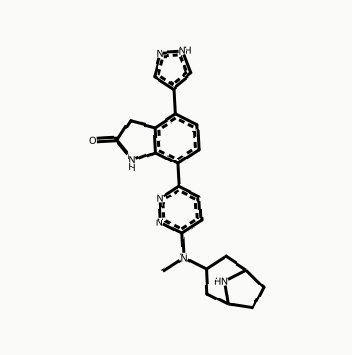 CN(c1ccc(-c2ccc(-c3cn[nH]c3)c3c2NC(=O)C3)nn1)C1CC2CCC(C1)N2